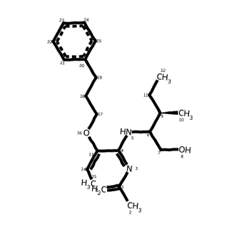 C=C(C)/N=C(NC(CO)[C@H](C)CC)\C(=C/C)OCCCc1ccccc1